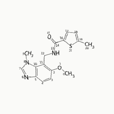 COc1ccc2ncn(C)c2c1CNC(=O)c1ccc(C)s1